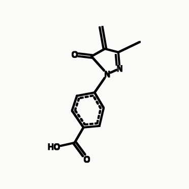 C=C1C(=O)N(c2ccc(C(=O)O)cc2)N=C1C